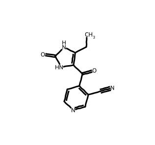 CCc1[nH]c(=O)[nH]c1C(=O)c1ccncc1C#N